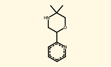 CC1(C)COC(c2ccccn2)CN1